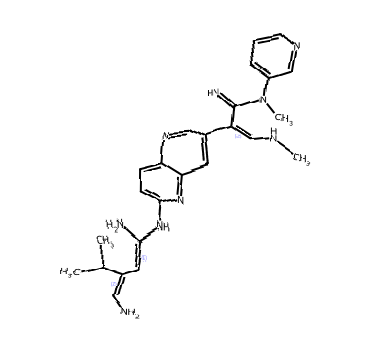 CN/C=C(\C(=N)N(C)c1cccnc1)c1cnc2ccc(N/C(N)=C/C(=C\N)C(C)C)nc2c1